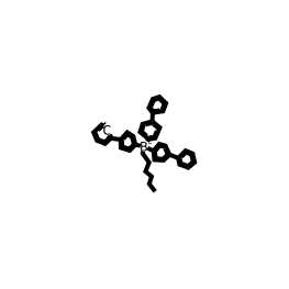 CCCCCC[B-](c1ccc(-c2ccccc2)cc1)(c1ccc(-c2ccccc2)cc1)c1ccc(-c2ccccc2)cc1